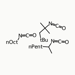 CC(C)(C)CC(C)(C)N=C=O.CCCCCC(C)N=C=O.CCCCCCCCN=C=O